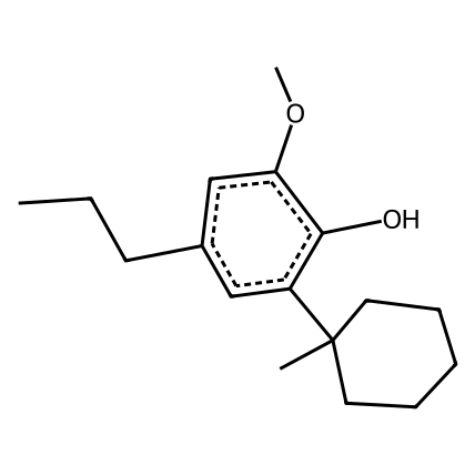 CCCc1cc(OC)c(O)c(C2(C)CCCCC2)c1